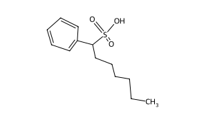 CCCCCCC(c1ccccc1)S(=O)(=O)O